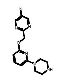 Brc1cnc(COc2cccc(N3CCNCC3)n2)nc1